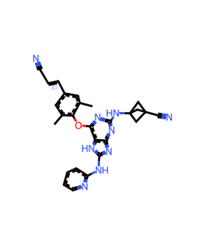 Cc1cc(/C=C/C#N)cc(C)c1Oc1nc(NC23CC(C#N)(C2)C3)nc2nc(Nc3ccccn3)[nH]c12